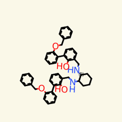 Oc1c(CNC2CCCC[C@H]2NCc2cccc(-c3ccccc3OCc3ccccc3)c2O)cccc1-c1ccccc1OCc1ccccc1